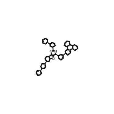 c1ccc(-c2ccc(-c3ccc4c(c3)oc3c(-c5cccc(-c6ccc7c8ccccc8c8ccccc8c7c6)c5)nc(-c5cccc(-c6ccccc6)c5)nc34)cc2)cc1